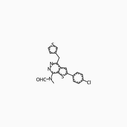 CN(C=O)c1nnc(Cc2ccsc2)c2cc(-c3ccc(Cl)cc3)sc12